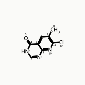 Cc1cc2c(=O)[nH]cnc2nc1Cl